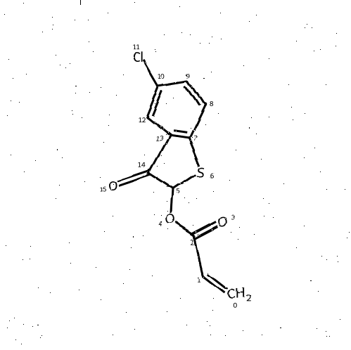 C=CC(=O)OC1Sc2ccc(Cl)cc2C1=O